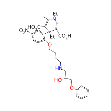 CCN1C(C)=C(C(=O)O)C(CC)(c2cc([N+](=O)[O-])ccc2OCCCCNCC(O)COc2ccccc2)C(C(=O)O)=C1C